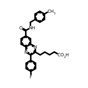 Cc1ccc(CNC(=O)c2ccc3nc(-c4ccc(F)cc4)c(CCCCC(=O)O)nc3c2)cc1